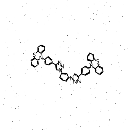 c1cc(-n2cc(-c3ccc(N4c5ccccc5Sc5ccccc54)cc3)nn2)cc(-n2cc(-c3ccc(N4c5ccccc5Sc5ccccc54)cc3)nn2)c1